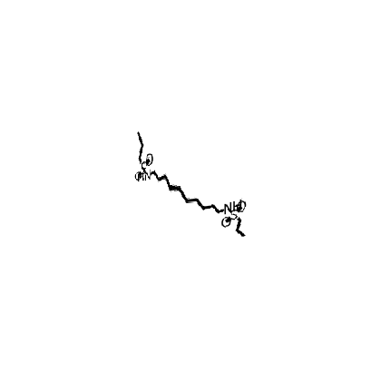 CCCS(=O)(=O)NCCCCCCCCCCNS(=O)(=O)CCC